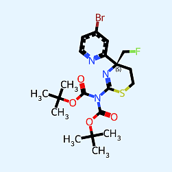 CC(C)(C)OC(=O)N(C(=O)OC(C)(C)C)C1=N[C@](CF)(c2cc(Br)ccn2)CCS1